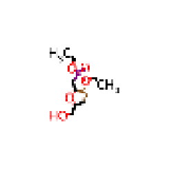 CCOP(=O)(CC1OC(CO)CS1)OCC